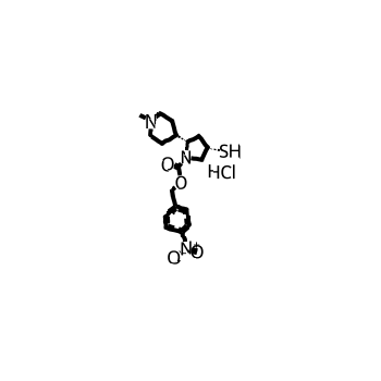 CN1CCC([C@@H]2C[C@H](S)CN2C(=O)OCc2ccc([N+](=O)[O-])cc2)CC1.Cl